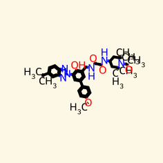 COc1ccc(-c2cc(CNC(=O)C(=O)NC3CC(C)(C)N(C(C)=O)C(C)(C)C3)c(O)c(-n3nc4ccc(C(C)C)cc4n3)c2)cc1